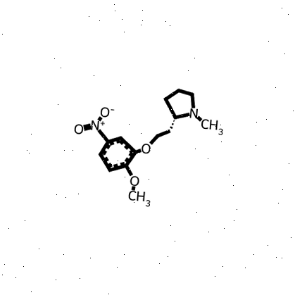 COc1ccc([N+](=O)[O-])cc1OCC[C@@H]1CCCN1C